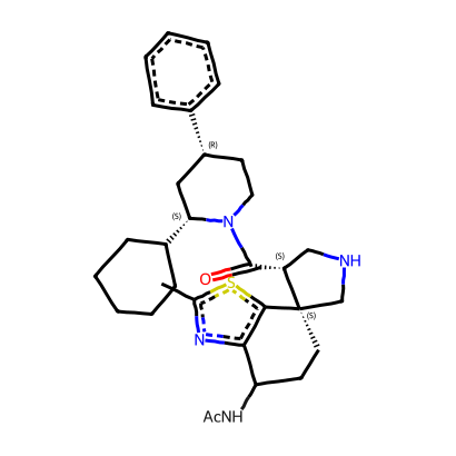 CC(=O)NC1CC[C@]2(CNC[C@H]2C(=O)N2CC[C@@H](c3ccccc3)C[C@H]2C2CCCCC2)c2sc(C)nc21